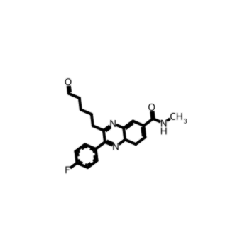 CNC(=O)C1=CCC2N=C(c3ccc(F)cc3)C(CCCCC=O)=NC2=C1